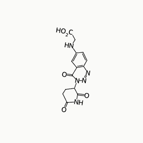 O=C(O)CNc1ccc2nnn(C3CCC(=O)NC3=O)c(=O)c2c1